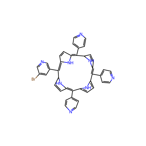 Brc1cncc(/C2=c3\cc/c([nH]3)=C(\c3ccncc3)C3C=C/C(=C(\c4ccncc4)c4ccc([nH]4)/C(c4ccncc4)=C4/C=CC2N4)N3)c1